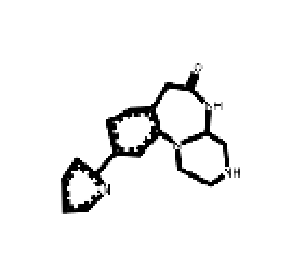 O=C1Cc2ccc(-c3ccccn3)cc2N2CCNCC2N1